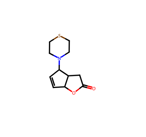 O=C1CC2C(C=CC2N2CCSCC2)O1